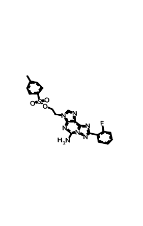 Cc1ccc(S(=O)(=O)OCCn2cnc3c2nc(N)n2nc(-c4ccccc4F)nc32)cc1